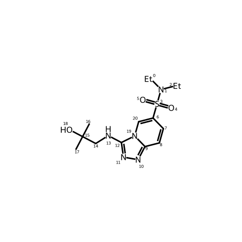 CCN(CC)S(=O)(=O)c1ccc2nnc(NCC(C)(C)O)n2c1